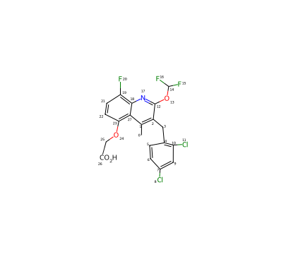 Cc1c(Cc2ccc(Cl)cc2Cl)c(OC(F)F)nc2c(F)ccc(OCC(=O)O)c12